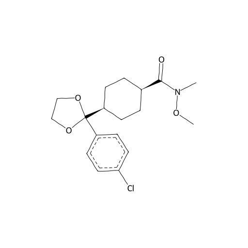 CON(C)C(=O)[C@H]1CC[C@@H](C2(c3ccc(Cl)cc3)OCCO2)CC1